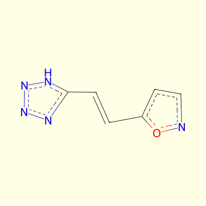 C(=Cc1ccno1)c1nnn[nH]1